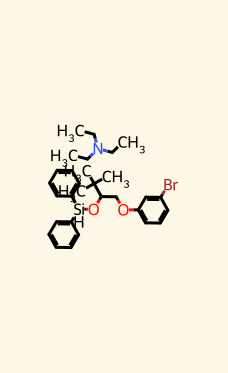 CC(C)(C)C(COc1cccc(Br)c1)O[SiH](c1ccccc1)c1ccccc1.CCN(CC)CC